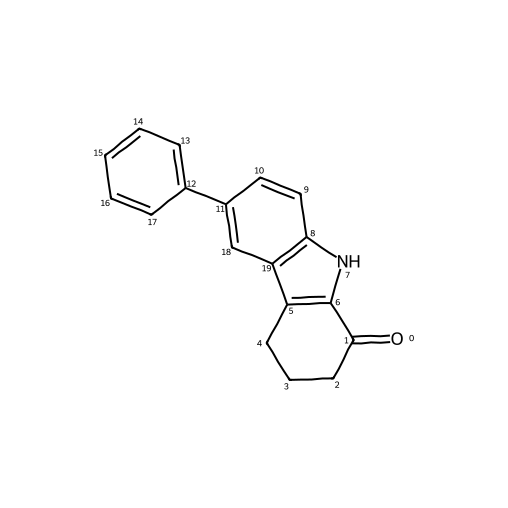 O=C1CCCc2c1[nH]c1ccc(-c3ccccc3)cc21